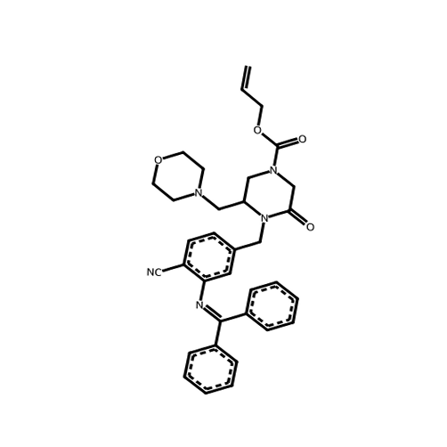 C=CCOC(=O)N1CC(=O)N(Cc2ccc(C#N)c(N=C(c3ccccc3)c3ccccc3)c2)C(CN2CCOCC2)C1